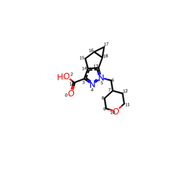 O=C(O)c1nn(CC2CCOCC2)c2c1CC1CC21